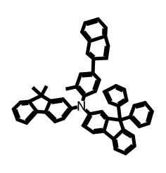 Cc1cc(-c2ccc3ccccc3c2)ccc1N(c1ccc2c(c1)C(C)(C)c1ccccc1-2)c1ccc2c(c1)C(c1ccccc1)(c1ccccc1)c1ccccc1-2